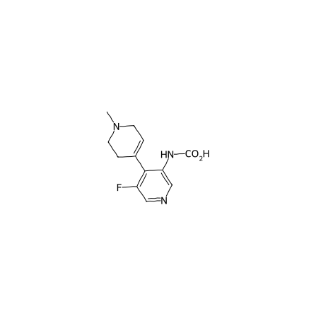 CN1CC=C(c2c(F)cncc2NC(=O)O)CC1